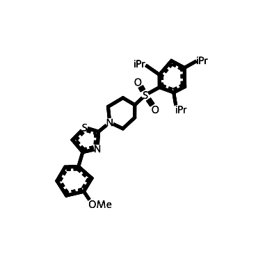 COc1cccc(-c2csc(N3CCC(S(=O)(=O)c4c(C(C)C)cc(C(C)C)cc4C(C)C)CC3)n2)c1